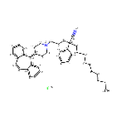 CCCCCCCCCCC(C#N)(CCCN1CCC(=C2c3ccccc3C=Cc3ccccc32)CC1)c1ccccc1.Cl